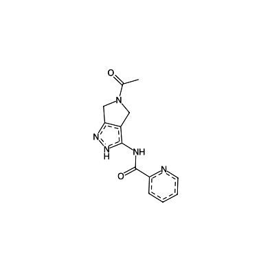 CC(=O)N1Cc2n[nH]c(NC(=O)c3ccccn3)c2C1